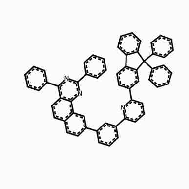 c1ccc(-c2nc(-c3ccccc3)c3ccc4ccc(-c5cccc(-c6cccc(-c7ccc8c(c7)C(c7ccccc7)(c7ccccc7)c7ccccc7-8)n6)c5)cc4c3n2)cc1